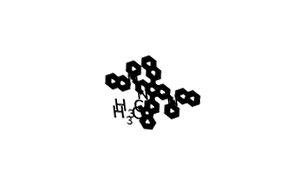 CC1(C)c2ccccc2-c2ccc(-c3c4cc(N(c5ccccc5)c5ccc6ccccc6c5)ccc4c(-c4ccc5ccccc5c4)c4cc(N(c5ccccc5)c5ccc6ccccc6c5)cnc34)cc21